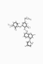 Cc1cnn(-c2cc(C)nc3c(OCc4c(Cl)cc(CO)nc4Cn4cccc(N)c4=O)cccc23)c1